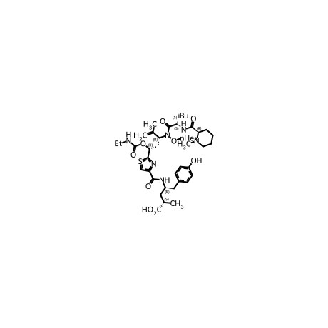 C=C(C)[C@@H](C[C@@H](OC(=O)NCC)c1nc(C(=O)N[C@@H](Cc2ccc(O)cc2)C[C@H](C)C(=O)O)cs1)N(OCCCCCC)C(=O)[C@@H](NC(=O)[C@H]1CCCCN1C)[C@@H](C)CC